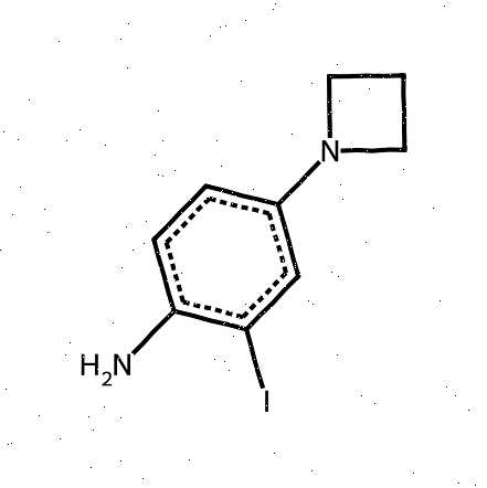 Nc1ccc(N2CCC2)cc1I